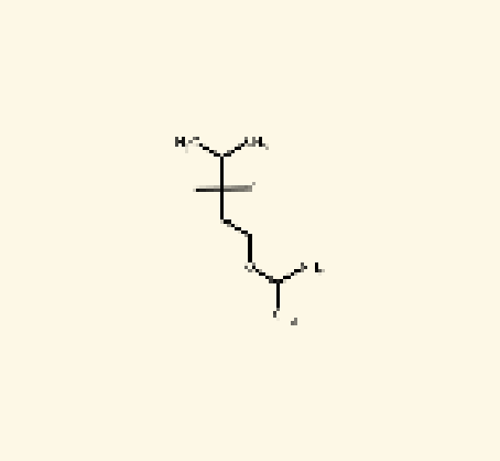 CC(N)OCCC(F)(F)C(C)C